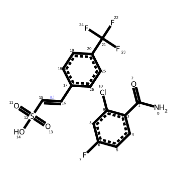 NC(=O)c1ccc(F)cc1Cl.O=S(=O)(O)/C=C/c1ccc(C(F)(F)F)cc1